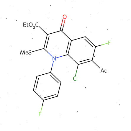 CCOC(=O)c1c(SC)n(-c2ccc(F)cc2)c2c(Cl)c(C(C)=O)c(F)cc2c1=O